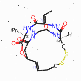 C/C=C1\NC(=O)[C@H]2CSSCC/C=C/C(CC(=O)NCC(=O)N2)OC(=O)[C@H](C(C)C)NC1=O